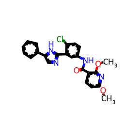 COc1ccc(C(=O)Nc2ccc(Cl)c(-c3ncc(-c4ccccc4)[nH]3)c2)c(OC)n1